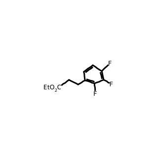 CCOC(=O)CCc1ccc(F)c(F)c1F